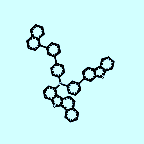 c1cc(-c2ccc(N(c3cccc(-c4ccc5c(c4)sc4ccccc45)c3)c3cccc4oc5c6ccccc6ccc5c34)cc2)cc(-c2cccc3ccccc23)c1